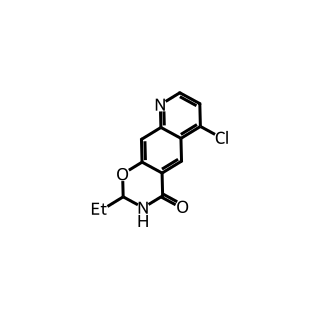 CCC1NC(=O)c2cc3c(Cl)ccnc3cc2O1